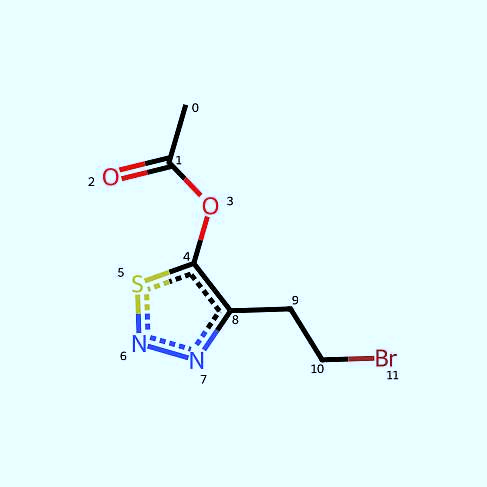 CC(=O)Oc1snnc1CCBr